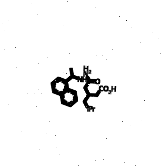 CC(C)CC(CC(N)=O)CC(=O)O.CC(N)c1cccc2ccccc12